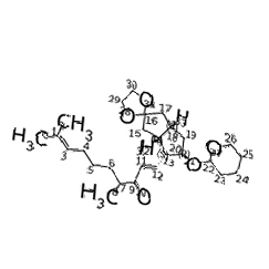 CC(C)=CCCCC(C)C(=O)C=C[C@@H]1[C@@H]2CC3(C[C@@H]2C[C@H]1OC1CCCCO1)OCCO3